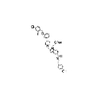 COCCn1c(CN2CCC(c3cccc(OCc4ccc(Cl)cc4F)n3)CC2)nc2cc(C(=O)NCCc3ccc(O)cc3)ccc21